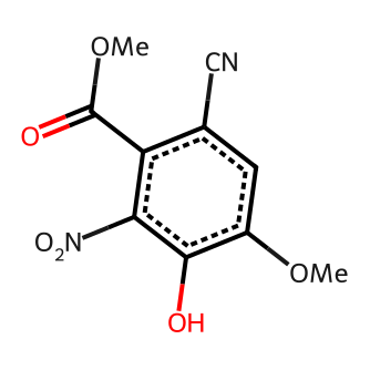 COC(=O)c1c(C#N)cc(OC)c(O)c1[N+](=O)[O-]